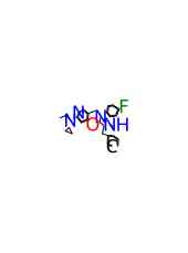 CCN(c1ccc(CN(C(=O)C(Cc2ccccc2)NC)c2ccc(F)cc2)cn1)C1CC1